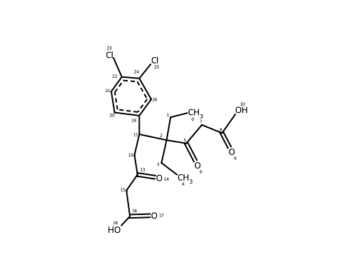 CCC(CC)(C(=O)CC(=O)O)C(CC(=O)CC(=O)O)c1ccc(Cl)c(Cl)c1